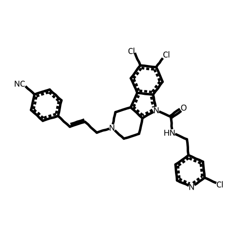 N#Cc1ccc(/C=C/CN2CCc3c(c4cc(Cl)c(Cl)cc4n3C(=O)NCc3ccnc(Cl)c3)C2)cc1